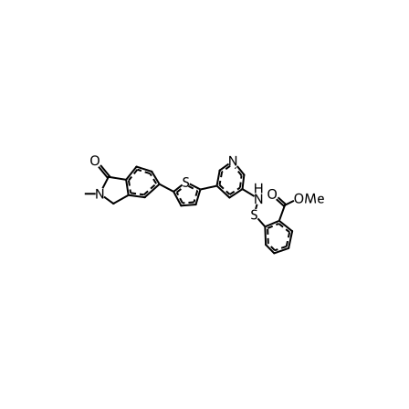 COC(=O)c1ccccc1SNc1cncc(-c2ccc(-c3ccc4c(c3)CN(C)C4=O)s2)c1